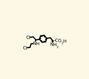 N[C@H](Cc1ccc(C(CCl)NCCCl)cc1)C(=O)O